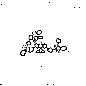 O=P(c1ccccc1)(c1ccc(-c2ccc3c(c2)C2(c4ccccc4O3)c3ccccc3-c3ccccc32)cc1)c1cccc(-c2ccc3c(c2)C2(c4cc(-c5cccc(-c6nc(-c7ccccc7)c7ccccc7n6)c5)ccc4O3)c3ccccc3-c3ccccc32)c1